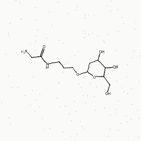 NCC(=O)NCCCOC1CC(O)C(O)C(CO)O1